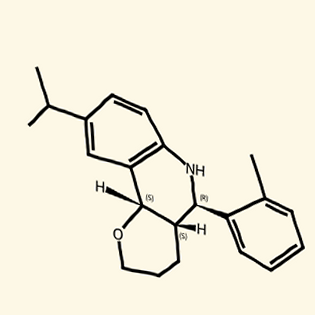 Cc1ccccc1[C@@H]1Nc2ccc(C(C)C)cc2[C@H]2OCCC[C@H]21